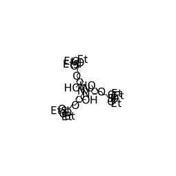 CCO[Si](CCCOc1ccc(-c2nc(-c3ccc(OCCC[Si](OCC)(OCC)OCC)cc3O)nc(-c3ccc(OCCC[Si](OCC)(OCC)OCC)cc3O)n2)c(O)c1)(OCC)OCC